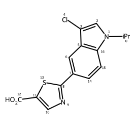 CC(C)n1cc(Cl)c2cc(-c3ncc(C(=O)O)s3)ccc21